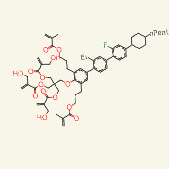 C=C(C)C(=O)OCCCc1cc(-c2ccc(-c3ccc(C4CCC(CCCCC)CC4)cc3F)cc2CC)cc(CCCOC(=O)C(=C)C)c1OCC(COC(=O)C(=C)CO)(COC(=O)C(=C)CO)COC(=O)C(=C)CO